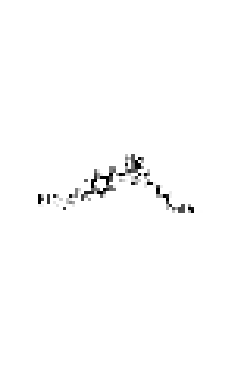 CCCCCCCCCCCCCCCCS(=O)(=O)NCCc1ccc(OCC(=O)OCC)cc1